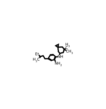 C=C(CC)CCc1ccc(NC2CC(C)(C)CC3(CC3)C2)c(N)c1